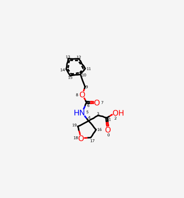 O=C(O)CC1(NC(=O)OCc2ccccc2)CCOC1